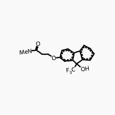 CNC(=O)CCOc1ccc2c(c1)C(O)(C(F)(F)F)c1ccccc1-2